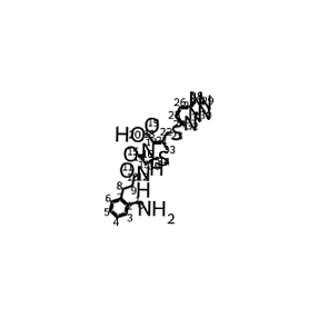 NCc1ccccc1CCC(=O)NC1C(=O)N2C(C(=O)O)=C(CSc3ccc4nnnn4n3)CS[C@@H]12